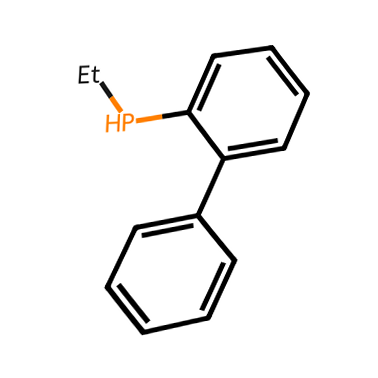 CCPc1ccccc1-c1ccccc1